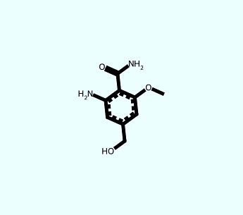 COc1cc(CO)cc(N)c1C(N)=O